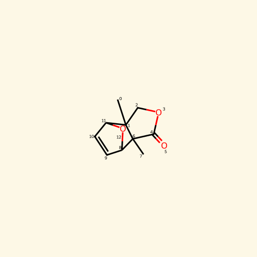 CC12COC(=O)C1(C)C1C=CC2O1